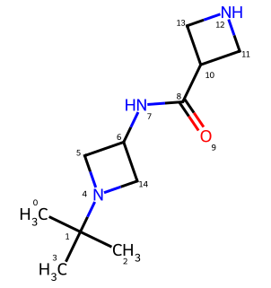 CC(C)(C)N1CC(NC(=O)C2CNC2)C1